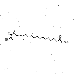 CCN(C)C(=O)N(C)CCCCCCCCCCCCCCCC(=O)OC